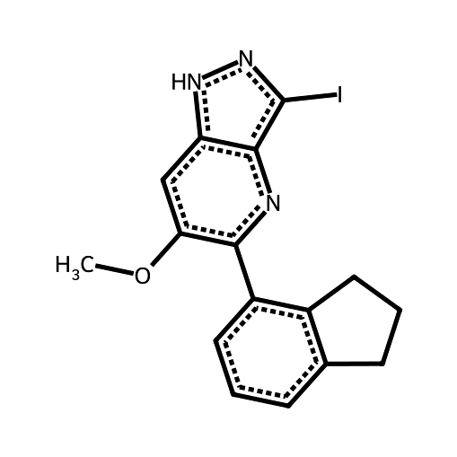 COc1cc2[nH]nc(I)c2nc1-c1cccc2c1CCC2